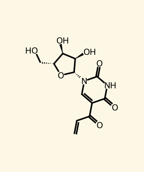 C=CC(=O)c1cn([C@@H]2O[C@H](CO)[C@@H](O)[C@H]2O)c(=O)[nH]c1=O